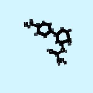 NC(=O)Oc1cc(-c2ccc(N)cc2)ccn1